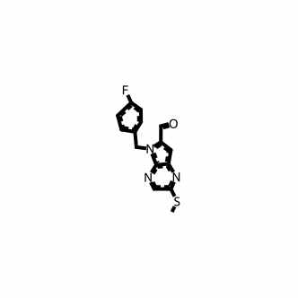 CSc1cnc2c(cc(C=O)n2Cc2ccc(F)cc2)n1